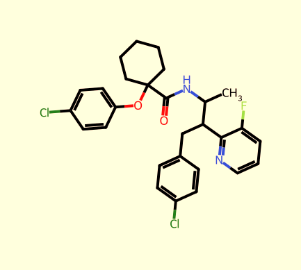 CC(NC(=O)C1(Oc2ccc(Cl)cc2)CCCCC1)C(Cc1ccc(Cl)cc1)c1ncccc1F